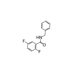 O=C(NCc1cc[c]cc1)c1cc(F)ccc1F